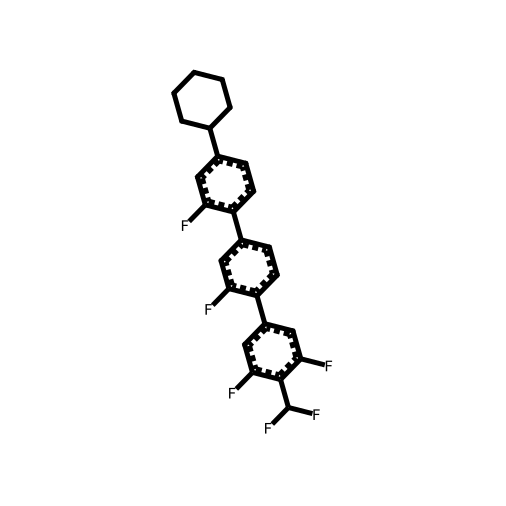 Fc1cc(-c2ccc(C3CCCCC3)cc2F)ccc1-c1cc(F)c(C(F)F)c(F)c1